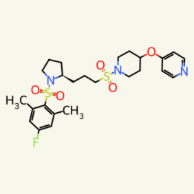 Cc1cc(F)cc(C)c1S(=O)(=O)N1CCC[C@H]1CCCS(=O)(=O)N1CCC(Oc2ccncc2)CC1